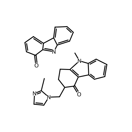 Cc1nccn1CC1CCc2c(c3ccccc3n2C)C1=O.O=C1C=CC=C2C1=Nc1ccccc12